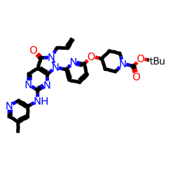 C=CCn1c(=O)c2cnc(Nc3cncc(C)c3)nc2n1-c1cccc(OC2CCN(C(=O)OC(C)(C)C)CC2)n1